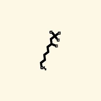 CCCCCCC(Cl)CC(Cl)(Cl)Cl